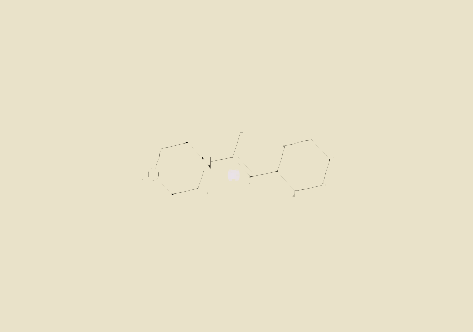 C/C(=C\C1CCCCC1)N1CCOCC1